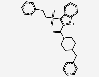 C=C(c1[nH]c2ccccc2c1S(=O)(=O)CCc1ccccc1)N1CCC(Cc2ccccc2)CC1